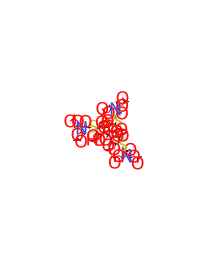 CC(=O)OC(C)N(C(=O)CSc1c2c(c(C(O)(c3c4c(c(SCC(=O)N(C(C)OC(C)=O)C(C)OC(C)=O)c5c3OC(C)(C)O5)OC(C)(C)O4)c3c4c(c(SCC(=O)N(C(C)OC(C)=O)C(C)OC(C)=O)c5c3OC(C)(C)O5)OC(C)(C)O4)c3c1OC(C)(C)O3)OC(C)(C)O2)C(C)OC(C)=O